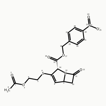 CC(=O)OCCSC1=CC2CC(=O)N2[C@H]1C(=O)OCc1ccc([N+](=O)[O-])cc1